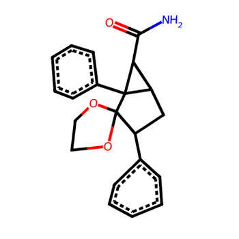 NC(=O)C1C2CC(c3ccccc3)C3(OCCO3)C21c1ccccc1